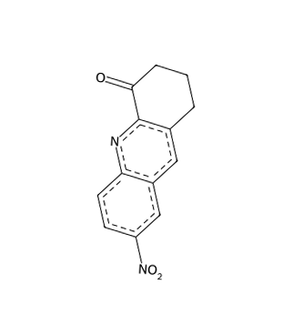 O=C1CCCc2cc3cc([N+](=O)[O-])ccc3nc21